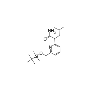 CC(C)CC(C(N)=O)c1cccc(CO[Si](C)(C)C(C)(C)C)n1